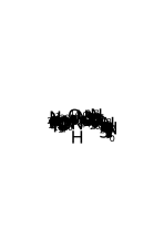 Cc1nnc(-c2cnc3cnc(NC(=O)N4CCn5ccnc5C4)cc3c2)s1